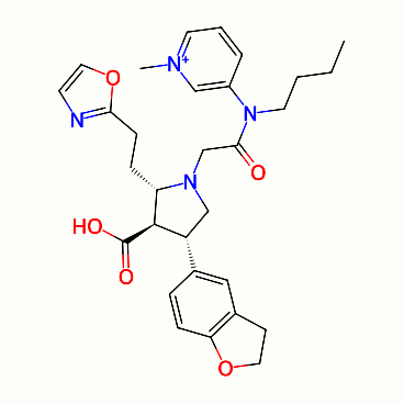 CCCCN(C(=O)CN1C[C@H](c2ccc3c(c2)CCO3)[C@@H](C(=O)O)[C@@H]1CCc1ncco1)c1ccc[n+](C)c1